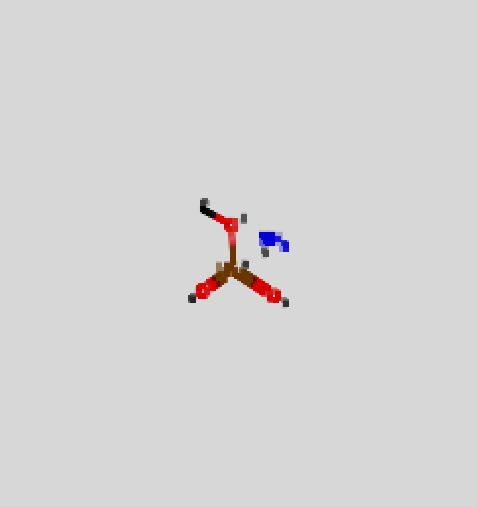 CO[SH](=O)=O.N